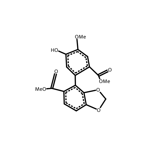 COC(=O)c1cc(OC)c(O)cc1-c1c(C(=O)OC)ccc2c1OCO2